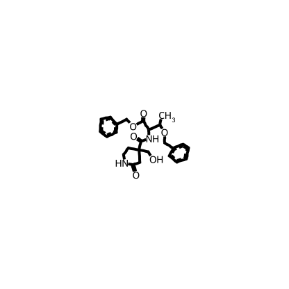 CC(OCc1ccccc1)C(NC(=O)C1(CO)CCNC(=O)C1)C(=O)OCc1ccccc1